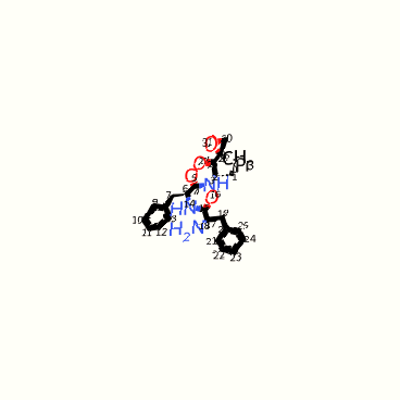 CC(C)C[C@H](NC(=O)[C@H](Cc1ccccc1)NC(=O)C(N)Cc1ccccc1)C(=O)[C@@]1(C)CO1